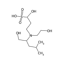 CC(C)CC(CO)N(CCO)CCC(O)S(=O)(=O)O